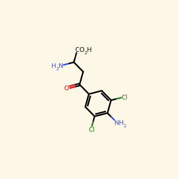 Nc1c(Cl)cc(C(=O)CC(N)C(=O)O)cc1Cl